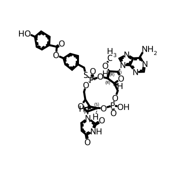 CO[C@@H]1[C@@H]2O[P@](=O)(SCc3ccc(OC(=O)c4ccc(O)cc4)cc3)OCC3O[C@@H](n4ccc(=O)[nH]c4=O)[C@H](OP(=O)(O)OC[C@H]2O[C@H]1n1cnc2c(N)ncnc21)[C@@H]3F